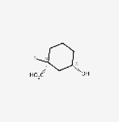 O=C(O)[C@]1(F)CCC[C@H](O)C1